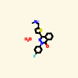 C/N=C\c1ccc(-c2nn(-c3ccc(F)cc3)c(=O)c3ccccc23)s1.O